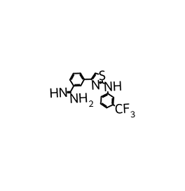 N=C(N)c1cccc(-c2csc(Nc3cccc(C(F)(F)F)c3)n2)c1